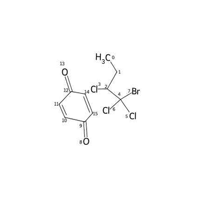 CCC(Cl)C(Cl)(Cl)Br.O=C1C=CC(=O)C=C1